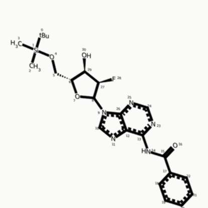 CC(C)(C)[Si](C)(C)OC[C@H]1OC(n2cnc3c(NC(=O)c4ccccc4)ncnc32)[C@H](F)[C@@H]1O